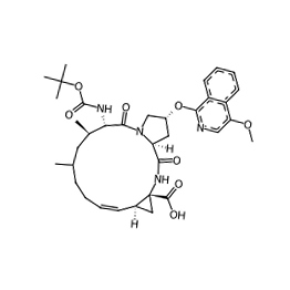 COc1cnc(O[C@@H]2C[C@H]3C(=O)N[C@]4(C(=O)O)C[C@H]4/C=C\CCC(C)C[C@@H](C)[C@H](NC(=O)OC(C)(C)C)C(=O)N3C2)c2ccccc12